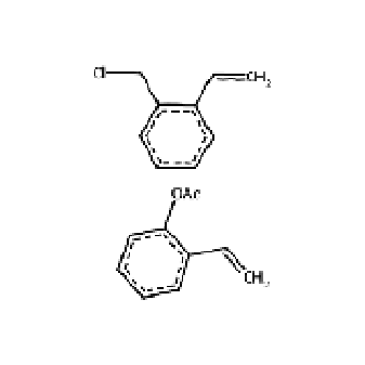 C=Cc1ccccc1CCl.C=Cc1ccccc1OC(C)=O